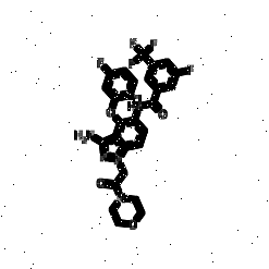 Nc1nn(CC(=O)N2CCOCC2)c2ccc(NC(=O)c3cc(F)cc(C(F)(F)F)c3)c(Oc3cc(F)ccc3Cl)c12